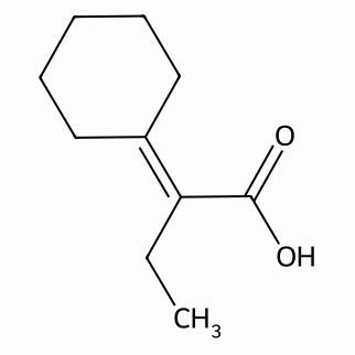 CCC(C(=O)O)=C1CCCCC1